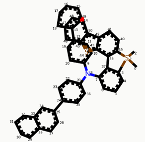 CS1(C)c2cccc(N(c3ccc(-c4ccccc4)cc3)c3ccc(-c4ccc5ccccc5c4)cc3)c2-c2c1ccc1c2sc2ccccc21